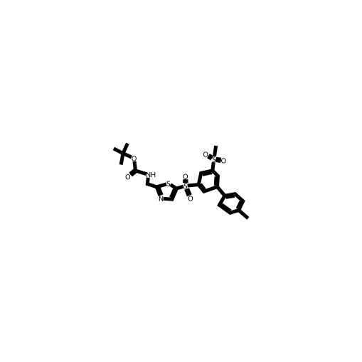 Cc1ccc(-c2cc(S(C)(=O)=O)cc(S(=O)(=O)c3cnc(CNC(=O)OC(C)(C)C)s3)c2)cc1